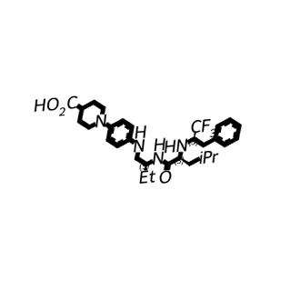 CC[C@@H](CNc1ccc(N2CCC(C(=O)O)CC2)cc1)NC(=O)[C@H](CC(C)C)N[C@@H](Cc1ccccc1)C(F)(F)F